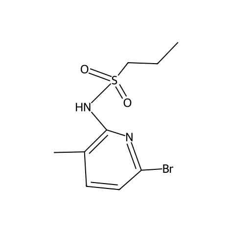 CCCS(=O)(=O)Nc1nc(Br)ccc1C